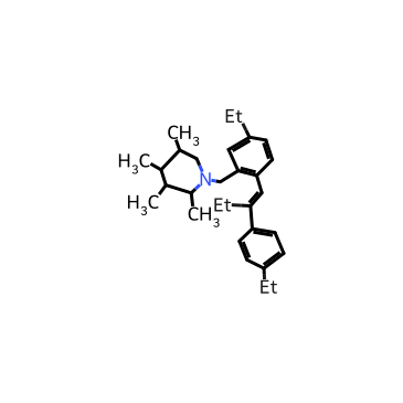 CC/C(=C\c1ccc(CC)cc1CN1CC(C)C(C)C(C)C1C)c1ccc(CC)cc1